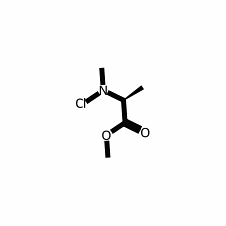 COC(=O)[C@H](C)N(C)Cl